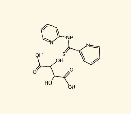 O=C(O)C(O)C(O)C(=O)O.S=C(Nc1ccccn1)c1ccccn1